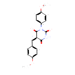 COc1ccc(/C=C2\C(=O)NC(=O)N(c3ccc(OC)cc3)C2=O)cc1